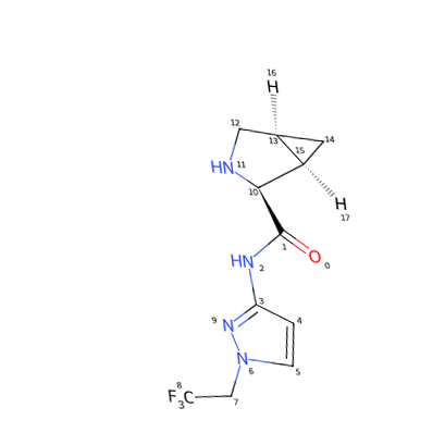 O=C(Nc1ccn(CC(F)(F)F)n1)[C@H]1NC[C@H]2C[C@H]21